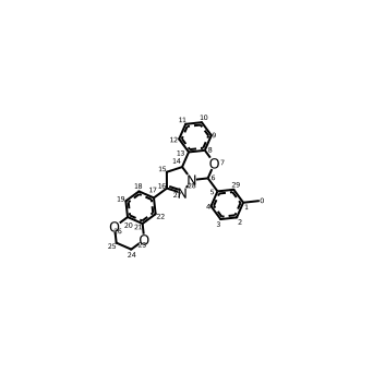 Cc1cccc(C2Oc3ccccc3C3CC(c4ccc5c(c4)OCCO5)=NN32)c1